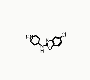 Clc1ccc2oc(NC3CCNCC3)nc2c1